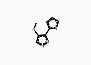 COc1[c]nsc1-c1cccs1